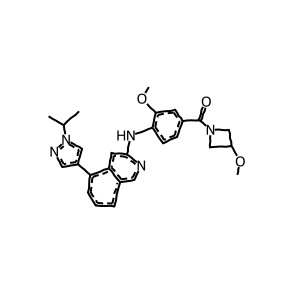 COc1cc(C(=O)N2CC(OC)C2)ccc1Nc1cc2c(-c3cnn(C(C)C)c3)cccc2cn1